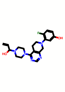 C=CC(O)N1CCN(c2ncnc3c2CCN(c2cc(O)ccc2F)C3)CC1